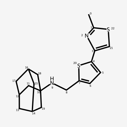 Cc1nc(-c2ccc(CNC34CC5CC(CC(C5)C3)C4)s2)cs1